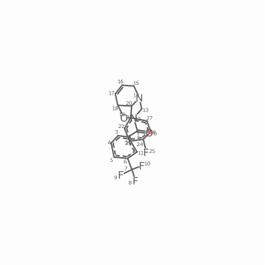 O=C(c1cccc(C(F)(F)F)c1)N1CN2CC=CC(O1)C2c1ccc(F)cc1